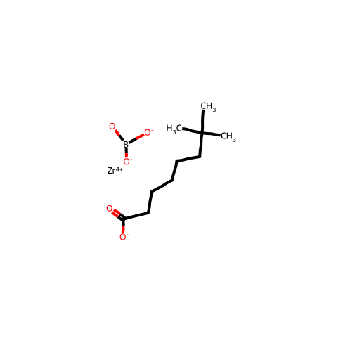 CC(C)(C)CCCCCC(=O)[O-].[O-]B([O-])[O-].[Zr+4]